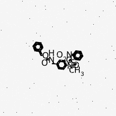 CN([C@H]1CC[C@H](CNC(=O)OCc2ccccc2)CC1)S(=O)(=O)c1ccccc1[N+](=O)[O-]